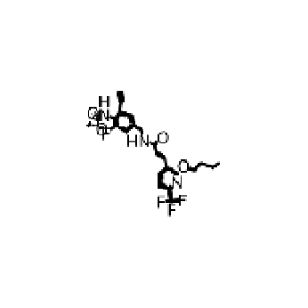 C#Cc1cc(CNC(=O)/C=C/c2ccc(C(F)(F)F)nc2OCCCC)cc(F)c1NS(C)(=O)=O